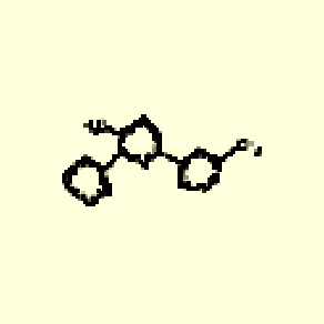 Cc1cccc(-c2ccc(C)c(-c3ccccn3)n2)c1